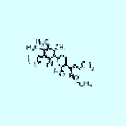 CCC/C(=N\OCC)C1=C(O)CC(c2c(C)c(C)c(C)c(C)c2Cl)CC1